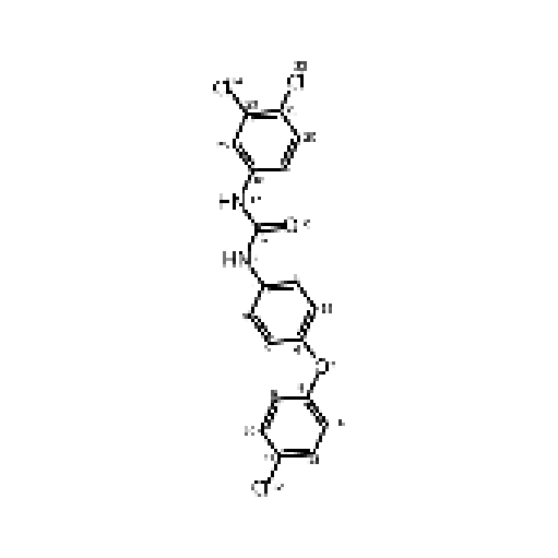 O=C(Nc1ccc(Oc2ccc(Cl)cc2)cc1)Nc1ccc(Cl)c(Cl)c1